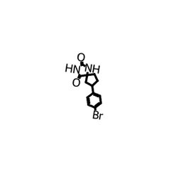 O=C1NC(=O)C2(CCC(c3ccc(Br)cc3)C2)N1